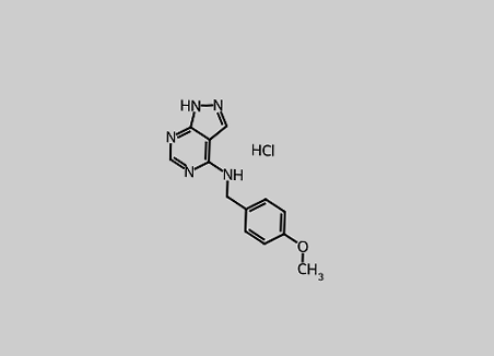 COc1ccc(CNc2ncnc3[nH]ncc23)cc1.Cl